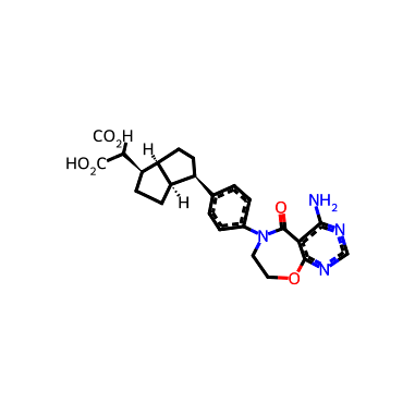 Nc1ncnc2c1C(=O)N(c1ccc([C@@H]3CC[C@H]4[C@@H]3CC[C@H]4C(C(=O)O)C(=O)O)cc1)CCO2